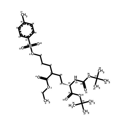 CCOC(=O)C(CCCOS(=O)(=O)c1ccc(C)cc1)CC[C@H](NC(=O)OC(C)(C)C)C(=O)OC(C)(C)C